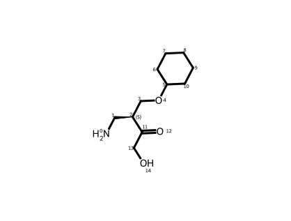 NC[C@@H](COC1CCCCC1)C(=O)CO